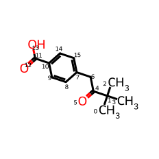 CC(C)(C)C(=O)Cc1ccc(C(=O)O)cc1